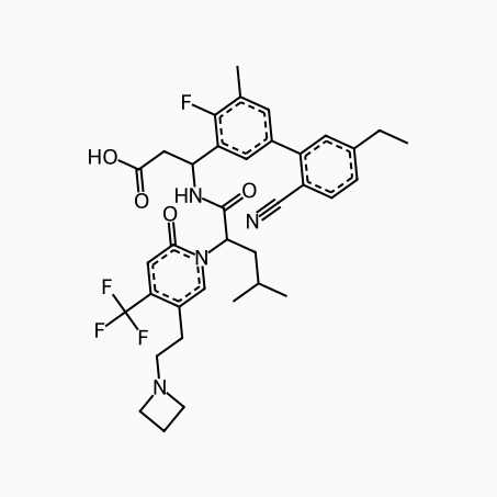 CCc1ccc(C#N)c(-c2cc(C)c(F)c(C(CC(=O)O)NC(=O)C(CC(C)C)n3cc(CCN4CCC4)c(C(F)(F)F)cc3=O)c2)c1